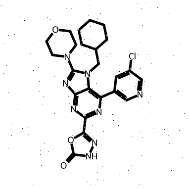 O=c1[nH]nc(-c2nc(-c3cncc(Cl)c3)c3c(n2)nc(N2CCOCC2)n3CC2CCCCC2)o1